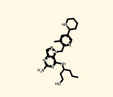 CCCC(CCO)Nc1nc(N)nc2cnn(Cc3ncc(C4CCCCN4)cc3C)c12